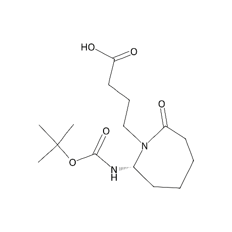 CC(C)(C)OC(=O)N[C@H]1CCCCC(=O)N1CCCC(=O)O